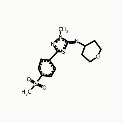 Cn1nc(-c2ccc(S(C)(=O)=O)cc2)sc1=NC1CCOCC1